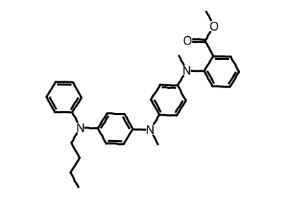 CCCCN(c1ccccc1)c1ccc(N(C)c2ccc(N(C)c3ccccc3C(=O)OC)cc2)cc1